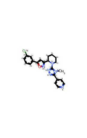 Cn1c(-c2ccncc2)nnc1N1CCCCC1c1cc(-c2cccc(Cl)c2)on1